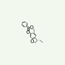 CC[C@@H]1COc2cc3c(cc21)COB(c1ccccc1)O3